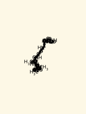 CC[C@@H]1C(=O)N(C)c2cnc(Nc3ccc(C(=O)NCCOCCOCCNCC#Cc4cccc5c4CN(C4CCC(=O)NC4=O)C5=O)cc3OC)nc2N1C1CCCC1